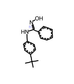 CC(C)(C)c1ccc(N/C(=N/O)c2ccccc2)cc1